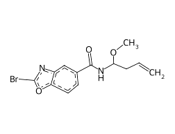 C=CCC(NC(=O)c1ccc2oc(Br)nc2c1)OC